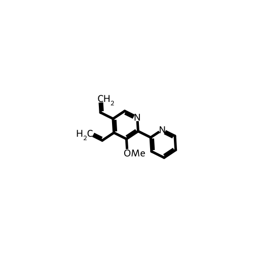 C=Cc1cnc(-c2ccccn2)c(OC)c1C=C